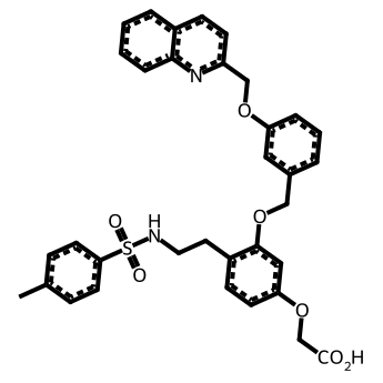 Cc1ccc(S(=O)(=O)NCCc2ccc(OCC(=O)O)cc2OCc2cccc(OCc3ccc4ccccc4n3)c2)cc1